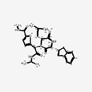 CNC(=O)c1ccc([C@H](C(=O)NC(C)C)N2C(=O)[C@@H](C3Cc4ccccc4C3)NC(=O)[C@H]2CC(C)C)o1